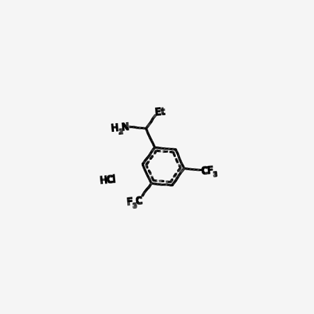 CCC(N)c1cc(C(F)(F)F)cc(C(F)(F)F)c1.Cl